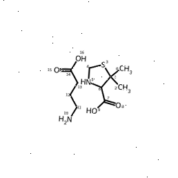 CC1(C)SCNC1C(=O)O.NCCCC(=O)O